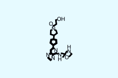 CC1(CNc2nc(-c3ccc(C4CCN(C(=O)CCO)CC4)cc3)cc3nccnc23)CNCCO1